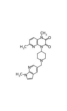 Cc1ccc2c(n1)n(C1CCN(Cc3cnc4c(ccn4C)c3)CC1)c(=O)c(=O)n2C